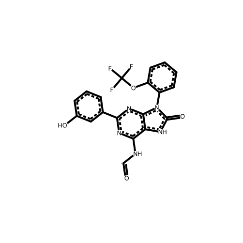 O=[C]Nc1nc(-c2cccc(O)c2)nc2c1[nH]c(=O)n2-c1ccccc1OC(F)(F)F